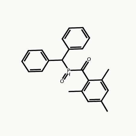 Cc1cc(C)c(C(=O)[PH](=O)C(c2ccccc2)c2ccccc2)c(C)c1